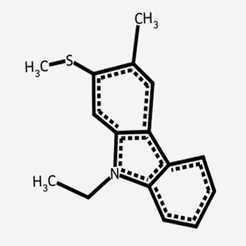 CCn1c2ccccc2c2cc(C)c(SC)cc21